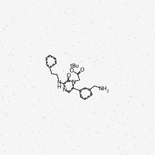 CC(C)(C)OC(=O)Cn1c(-c2cccc(CN)c2)cnc(NCCc2ccccc2)c1=O